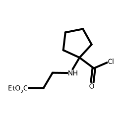 CCOC(=O)CCNC1(C(=O)Cl)CCCC1